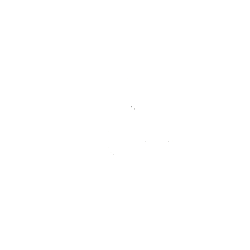 Bc1nc2c(C(C)(C)C)c(C)[nH]c2cc1C